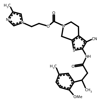 COc1ccc(C)cc1C(C)CC(=O)Nc1sc2c(c1C#N)CCN(C(=O)OCCn1cnc(C)c1)C2